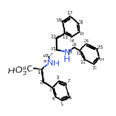 O=C(O)[C@H](Cc1ccccc1)NC[C@H](Cc1ccccc1)NCc1ccccc1